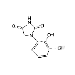 O=C1CN(c2cccc(O)c2O)C(=O)N1